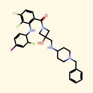 O=C(c1ccc(F)c(F)c1NC1C=CC(I)=CC1F)N1CC(O)(CNC2CCN(Cc3ccccc3)CC2)C1